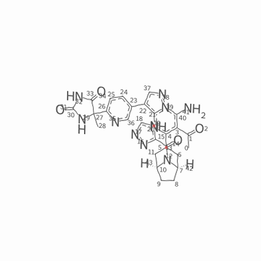 CC(=O)c1c(C2C[C@H]3CC[C@@H](C2)N3C(=O)c2nnc[nH]2)nc2c(-c3ccc(C4(C)NC(=O)NC4=O)nc3)cnn2c1N